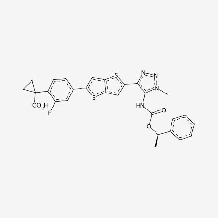 C[C@@H](OC(=O)Nc1c(-c2cc3sc(-c4ccc(C5(C(=O)O)CC5)c(F)c4)cc3s2)nnn1C)c1ccccc1